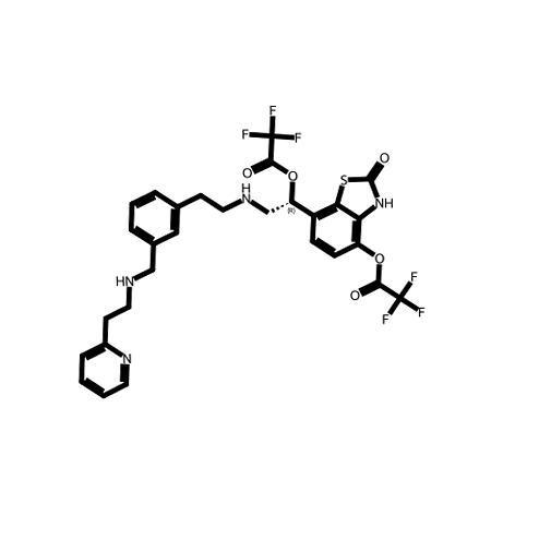 O=C(Oc1ccc([C@H](CNCCc2cccc(CNCCc3ccccn3)c2)OC(=O)C(F)(F)F)c2sc(=O)[nH]c12)C(F)(F)F